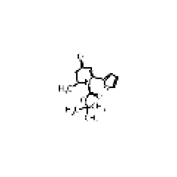 CC1CC(=O)C=C(c2cccs2)N1C(=O)OC(C)(C)C